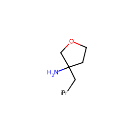 CC(C)CC1(N)CCOC1